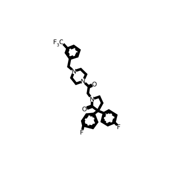 O=C(CN1CCC(c2ccc(F)cc2)(c2ccc(F)cc2)C1=O)N1CCN(Cc2cccc(C(F)(F)F)c2)CC1